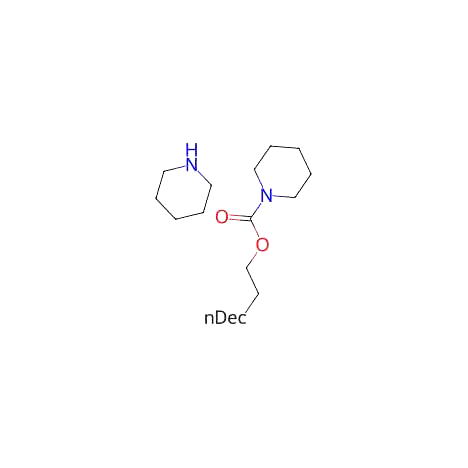 C1CCNCC1.CCCCCCCCCCCCOC(=O)N1CCCCC1